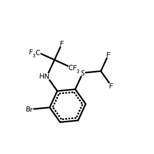 FC(F)Sc1cccc(Br)c1NC(F)(C(F)(F)F)C(F)(F)F